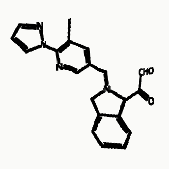 Cc1cc(CN2Cc3ccccc3C2C(=O)C=O)cnc1-n1cccn1